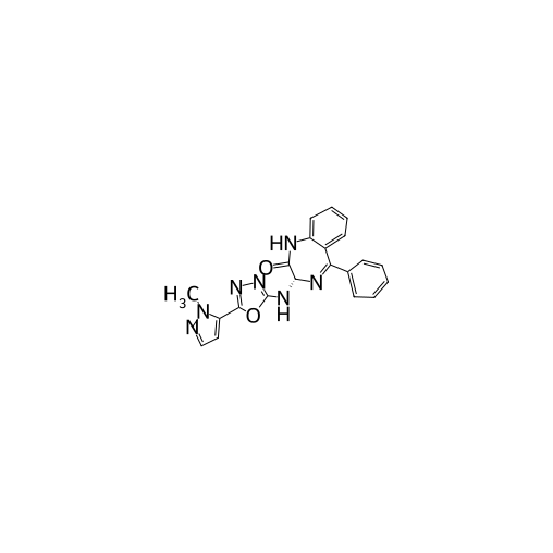 Cn1nccc1-c1nnc(N[C@H]2N=C(c3ccccc3)c3ccccc3NC2=O)o1